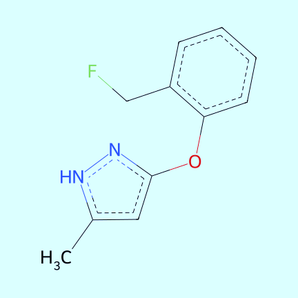 Cc1cc(Oc2ccccc2CF)n[nH]1